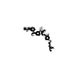 CCN(CC)CCCOc1ccc(NC=C2C(=O)Nc3cc(C(=O)c4cccc(N)c4)ccc32)cc1